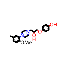 COc1ccc(C)cc1N1CCN(CC(O)COc2ccc(O)cc2)CC1